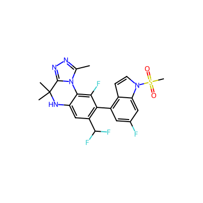 Cc1nnc2n1-c1c(cc(C(F)F)c(-c3cc(F)cc4c3ccn4S(C)(=O)=O)c1F)NC2(C)C